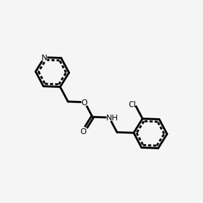 O=C(NCc1ccccc1Cl)OCc1ccncc1